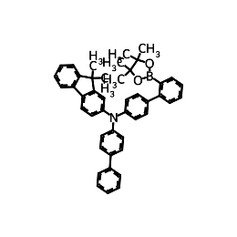 CC1(C)c2ccccc2-c2ccc(N(c3ccc(-c4ccccc4)cc3)c3ccc(-c4ccccc4B4OC(C)(C)C(C)(C)O4)cc3)cc21